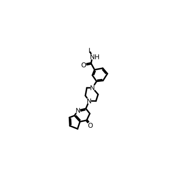 O=C1CC(N2CCN(c3cccc(C(=O)NI)c3)CC2)=NC2=C1CC=C2